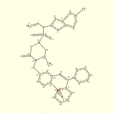 C=CC(c1cc2ccc(Cl)cc2s1)S(=O)(=O)N1CC(=O)N(Cc2ccc(C#N)c(N=C(c3ccccc3)c3ccccc3)c2)C(C)C1